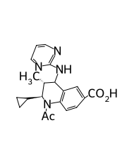 CC(=O)N1c2ccc(C(=O)O)cc2C(Nc2ncccn2)[C@@H](C)[C@@H]1C1CC1